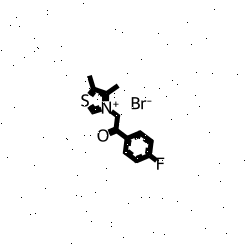 Cc1sc[n+](CC(=O)c2ccc(F)cc2)c1C.[Br-]